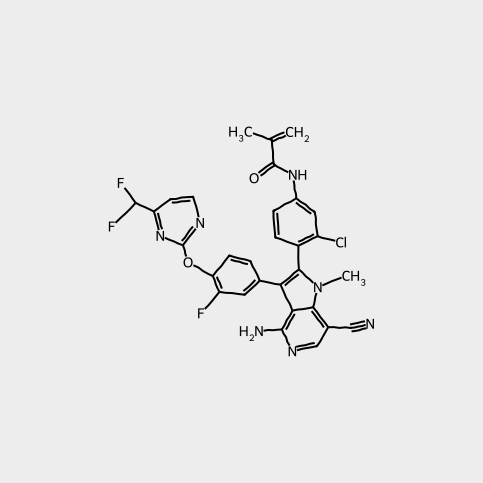 C=C(C)C(=O)Nc1ccc(-c2c(-c3ccc(Oc4nccc(C(F)F)n4)c(F)c3)c3c(N)ncc(C#N)c3n2C)c(Cl)c1